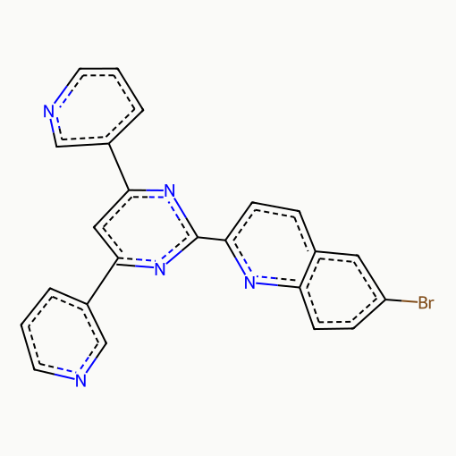 Brc1ccc2nc(-c3nc(-c4cccnc4)cc(-c4cccnc4)n3)ccc2c1